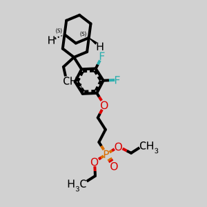 CCOP(=O)(CCCOc1ccc(C2(CC)C[C@H]3CCC[C@@H](C3)C2)c(F)c1F)OCC